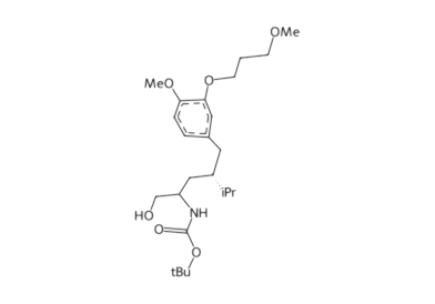 COCCCOc1cc(C[C@@H](CC(CO)NC(=O)OC(C)(C)C)C(C)C)ccc1OC